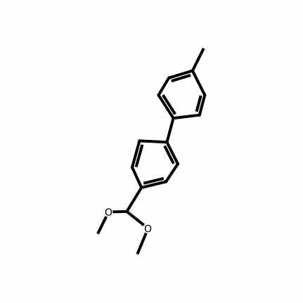 COC(OC)c1ccc(-c2ccc(C)cc2)cc1